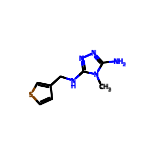 Cn1c(N)nnc1NCc1ccsc1